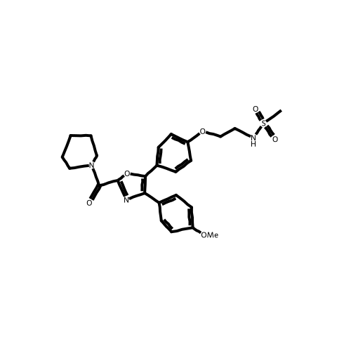 COc1ccc(-c2nc(C(=O)N3CCCCC3)oc2-c2ccc(OCCNS(C)(=O)=O)cc2)cc1